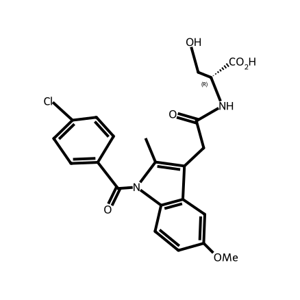 COc1ccc2c(c1)c(CC(=O)N[C@H](CO)C(=O)O)c(C)n2C(=O)c1ccc(Cl)cc1